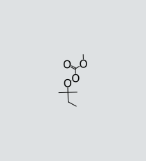 CCC(C)(C)OOC(=O)OC